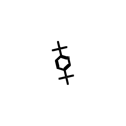 CS(C)(C)c1ccc(S(C)(C)C)nc1